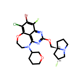 Fc1c(Br)c(Cl)c2c3c(nc(OC[C@@]45CCCN4C[C@H](F)C5)nc13)N(C1CCCOC1)CCO2